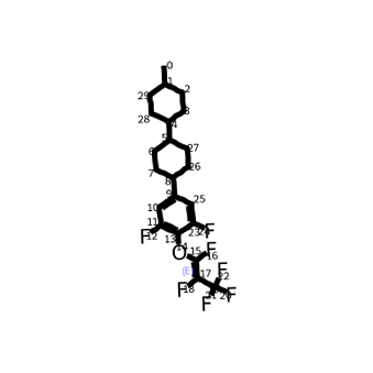 CC1CCC(C2CCC(c3cc(F)c(O/C(F)=C(\F)C(F)(F)F)c(F)c3)CC2)CC1